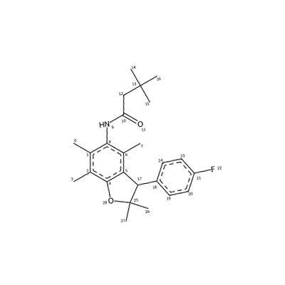 Cc1c(C)c2c(c(C)c1NC(=O)CC(C)(C)C)C(c1ccc(F)cc1)C(C)(C)O2